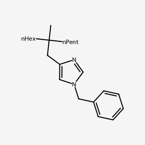 CCCCCCC(C)(CCCCC)Cc1cn(Cc2ccccc2)cn1